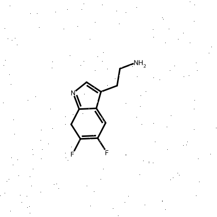 NCCC1=CN=C2CC(F)=C(F)C=C12